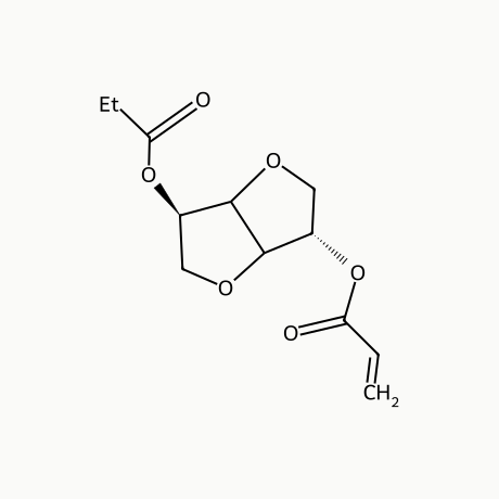 C=CC(=O)O[C@H]1COC2C1OC[C@H]2OC(=O)CC